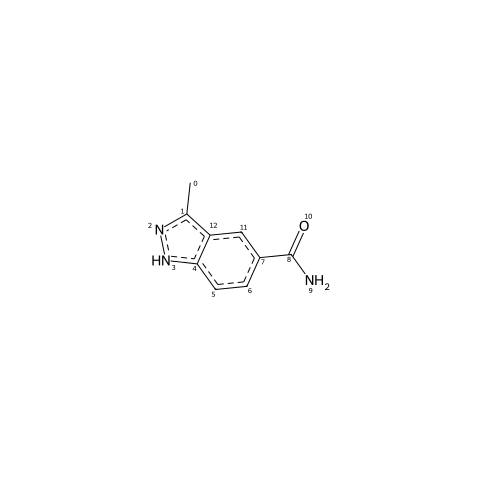 Cc1n[nH]c2ccc(C(N)=O)cc12